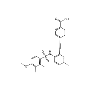 COc1ccc(S(=O)(=O)Nc2ccc(C)cc2C#Cc2ccc(C(=O)O)nc2)c(C)c1C